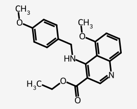 CCOC(=O)c1cnc2cccc(OC)c2c1NCc1ccc(OC)cc1